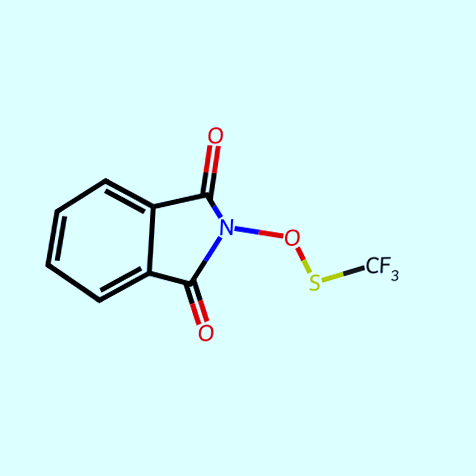 O=C1c2ccccc2C(=O)N1OSC(F)(F)F